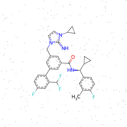 Cc1cc([C@@H](NC(=O)c2cc(Cn3ccn(C4CC4)c3=N)cc(-c3ccc(F)cc3C(F)F)c2)C2CC2)ccc1F